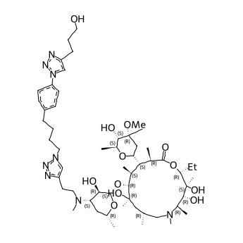 CC[C@H]1OC(=O)[C@H](C)[C@@H](C2C[C@@](C)(OC)[C@@H](O)[C@H](C)O2)[C@H](C)[C@@H](O[C@@H]2O[C@H](C)C[C@H](N(C)CCc3cn(CCCCc4ccc(-n5cc(CCCO)nn5)cc4)nn3)[C@H]2O)[C@](C)(O)C[C@@H](C)CN(C)[C@H](C)[C@@H](O)[C@]1(C)O